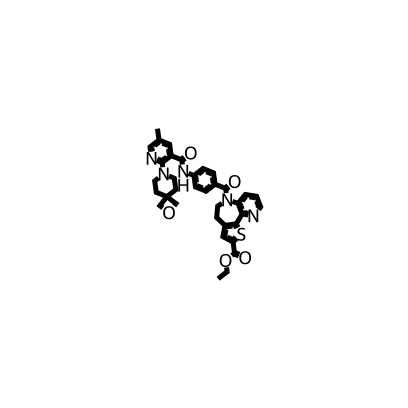 CCOC(=O)c1cc2c(s1)-c1ncccc1N(C(=O)c1ccc(NC(=O)c3cc(C)cnc3N3CCC4(CC3)COC4)cc1)CC2